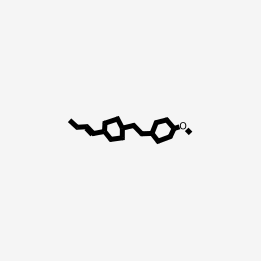 CCC=CC1CCC(CCC2CCC(OC)CC2)CC1